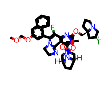 COCOc1cc(C2=C(F)c3nc(OC[C@@]45CCCN4C[C@H](F)C5)nc(N4C[C@H]5CC[C@@H](C4)N5C(=O)OC(C)(C)C)c3C3=NCCN32)c2ccccc2c1